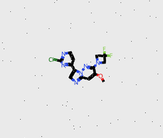 COc1cc2ncc(-c3ccnc(Cl)n3)n2nc1N1CC(F)(F)C1